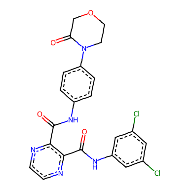 O=C(Nc1ccc(N2CCOCC2=O)cc1)c1nccnc1C(=O)Nc1cc(Cl)cc(Cl)c1